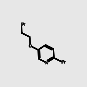 CC(C)CCOc1ccc(C(C)C)nc1